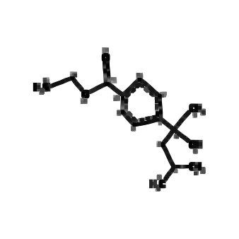 CC(C)CC(C)(O)c1ccc(C(=O)OC[SiH3])cc1